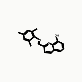 Cc1cc(C)c(N=Cc2ccc3cccc(O)c3n2)c(C)c1